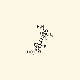 C[C@@H](NC(=O)CCN)C(=O)OC1CCN(c2c(CF)cc3c(=O)c(C(=O)O)cn4c3c2CCC4)CC1